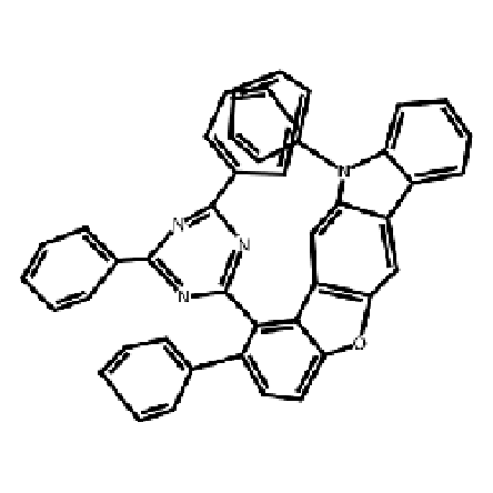 c1ccc(-c2nc(-c3ccccc3)nc(-c3c(-c4ccccc4)ccc4oc5cc6c7ccccc7n(-c7ccccc7)c6cc5c34)n2)cc1